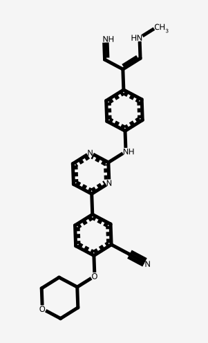 CN/C=C(\C=N)c1ccc(Nc2nccc(-c3ccc(OC4CCOCC4)c(C#N)c3)n2)cc1